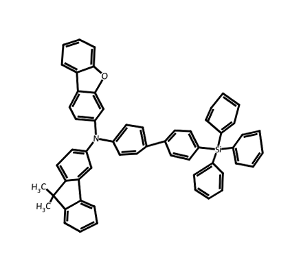 CC1(C)c2ccccc2-c2cc(N(c3ccc(-c4ccc([Si](c5ccccc5)(c5ccccc5)c5ccccc5)cc4)cc3)c3ccc4c(c3)oc3ccccc34)ccc21